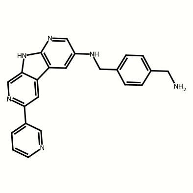 NCc1ccc(CNc2cnc3[nH]c4cnc(-c5cccnc5)cc4c3c2)cc1